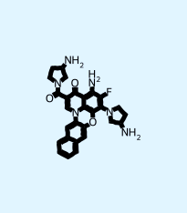 Nc1c(F)c(N2CCC(N)C2)c2c3c1c(=O)c(C(=O)N1CCC(N)C1)cn3-c1cc3ccccc3cc1O2